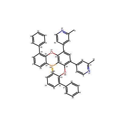 Cc1cc(-c2cc(-c3ccnc(C)c3)c3c4c2Oc2c(-c5ccccc5)cccc2P4(=S)c2cccc(-c4ccccc4)c2O3)ccn1